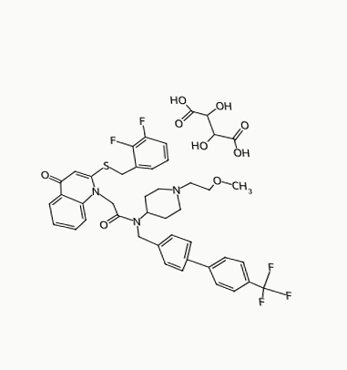 COCCN1CCC(N(Cc2ccc(-c3ccc(C(F)(F)F)cc3)cc2)C(=O)Cn2c(SCc3cccc(F)c3F)cc(=O)c3ccccc32)CC1.O=C(O)C(O)C(O)C(=O)O